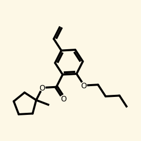 C=Cc1ccc(OCCCC)c(C(=O)OC2(C)CCCC2)c1